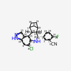 N#Cc1cc([C@@H]2Nc3c(Cl)cc4[nH]ncc4c3[C@H]3C4CCC(C4)[C@@H]23)ccc1F